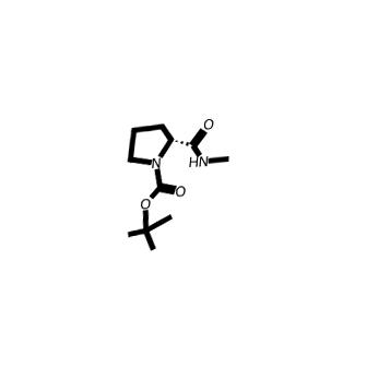 CNC(=O)[C@H]1CCCN1C(=O)OC(C)(C)C